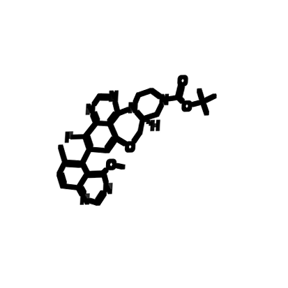 COc1ncnc2ccc(C)c(-c3cc4c5c(ncnc5c3F)N3CCN(C(=O)OC(C)(C)C)C[C@H]3CO4)c12